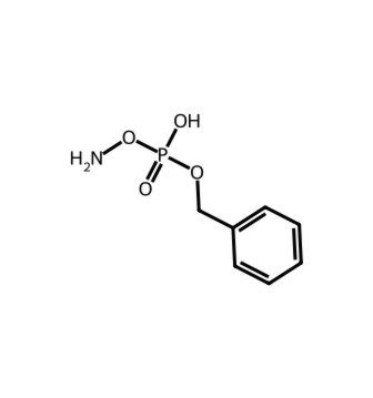 NOP(=O)(O)OCc1ccccc1